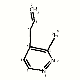 [2H]c1nnccc1CC=C